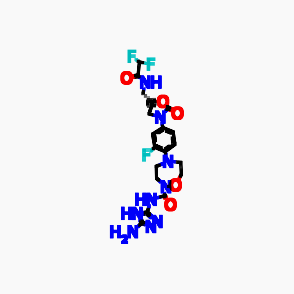 Nc1nnc(NC(=O)N2CCN(c3ccc(N4C[C@H](CNC(=O)C(F)F)OC4=O)cc3F)CCO2)[nH]1